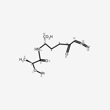 CC(C)O[C@@H](C)C(=O)N[C@@H](CCC(=O)C=[N+]=[N-])C(=O)O